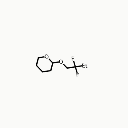 CCC(F)(F)COC1CCCCO1